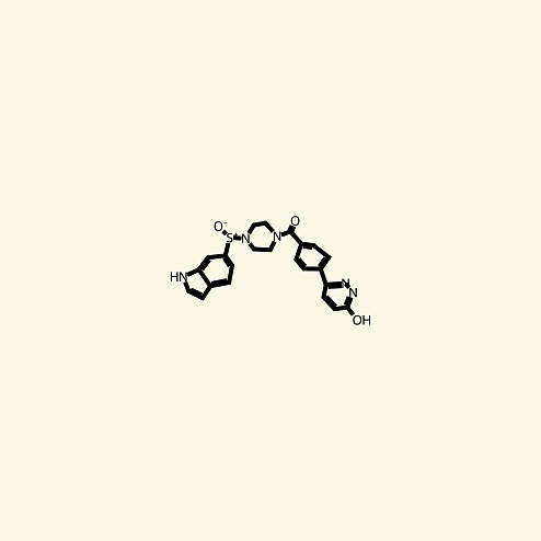 O=C(c1ccc(-c2ccc(O)nn2)cc1)N1CCN([S+]([O-])c2ccc3cc[nH]c3c2)CC1